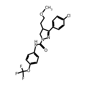 COCCC1CN(C(=O)Nc2ccc(OC(F)(F)F)cc2)N=C1c1ccc(Cl)cc1